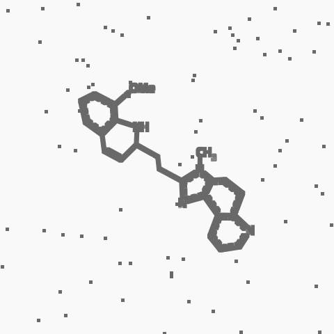 COc1cccc2c1NC(CCc1nc3c4cccnc4ccc3n1C)C=C2